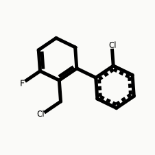 FC1=CC[CH]C(c2ccccc2Cl)=C1CCl